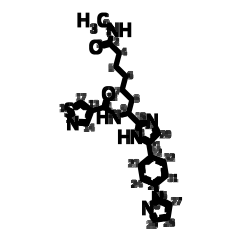 CNC(=O)CCCCCC(NC(=O)c1cnsc1)c1ncc(-c2ccc(-n3cccn3)cc2)[nH]1